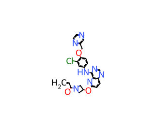 C=CC(=O)N1CC(Oc2ccc3ncnc(Nc4ccc(OCc5cnccn5)c(Cl)c4)c3n2)C1